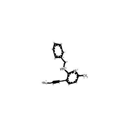 Cc1ccc(C#CC(C)(C)C)c(NCc2ccccc2)n1